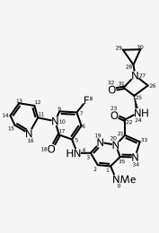 CNc1cc(Nc2cc(F)cn(-c3ccccn3)c2=O)nn2c(C(=O)N[C@@H]3CN(C4CC4)C3=O)cnc12